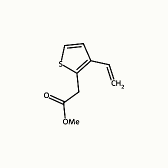 C=Cc1ccsc1CC(=O)OC